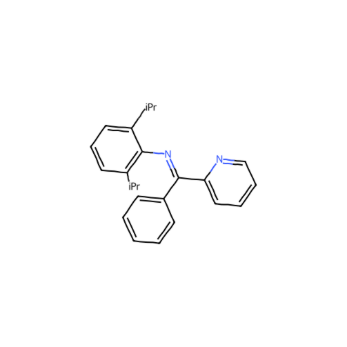 CC(C)c1cccc(C(C)C)c1/N=C(\c1ccccc1)c1ccccn1